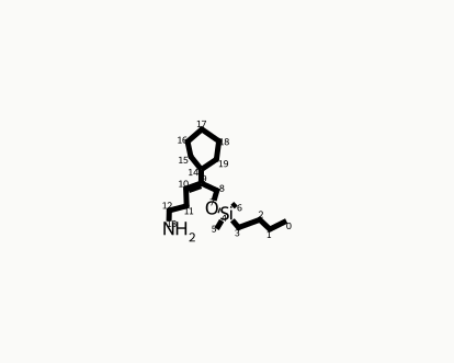 CCCC[Si](C)(C)OCC(=CCCN)C1CCCCC1